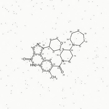 Cc1cc2[nH]c(=O)c3cnn(C4CCOCC4)c3c2cc1C(=O)N1CCC(N2CCCCCC2)CC1